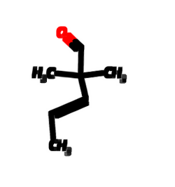 CC=CC(C)(C)C=O